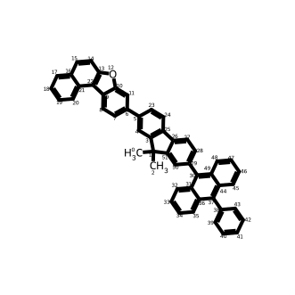 CC1(C)c2cc(-c3ccc4c(c3)oc3ccc5ccccc5c34)ccc2-c2ccc(-c3c4ccccc4c(-c4ccccc4)c4ccccc34)cc21